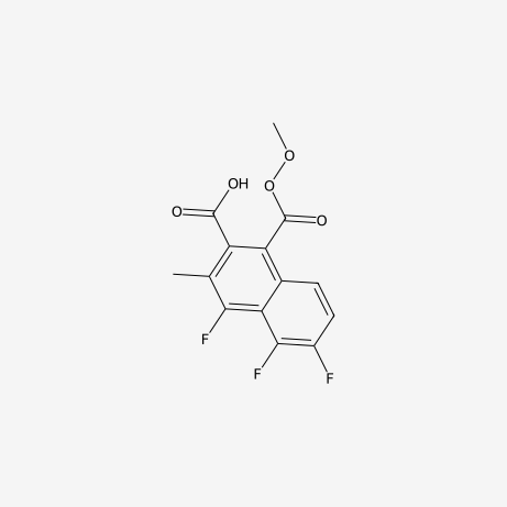 COOC(=O)c1c(C(=O)O)c(C)c(F)c2c(F)c(F)ccc12